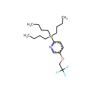 CCC[CH2][Sn]([CH2]CCC)([CH2]CCC)[c]1ccc(OCC(F)(F)F)cn1